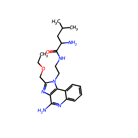 CCOCc1nc2c(N)nc3ccccc3c2n1CCNC(=O)C(N)CC(C)C